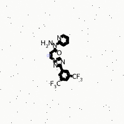 NN(C(=O)/C=C\n1cnc(-c2cc(C(F)(F)F)cc(C(F)(F)F)c2)n1)c1ccccn1